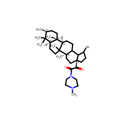 CC(=O)O[C@H]1CC[C@@]2(C)[C@@H](CCC3(C)[C@@H]2CCC2C4C(C(C)C)CC[C@]4(C(=O)C(=O)N4CCN(C)CC4)CC[C@]23C)C1(C)C